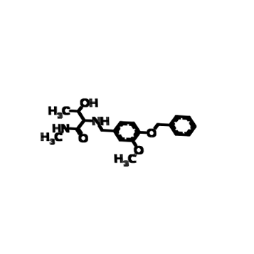 CNC(=O)C(NCc1ccc(OCc2ccccc2)c(OC)c1)C(C)O